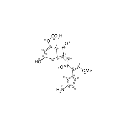 CON=C(C(=O)N[C@H]1C(=O)N2C(OC(=O)O)=C[C@H](O)CC12)c1csc(N)n1